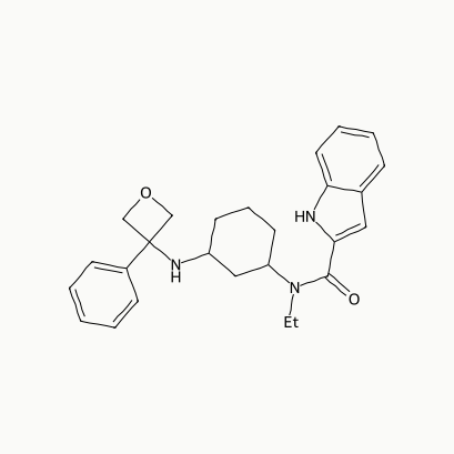 CCN(C(=O)c1cc2ccccc2[nH]1)C1CCCC(NC2(c3ccccc3)COC2)C1